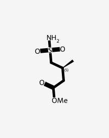 COC(=O)C[C@H](C)CS(N)(=O)=O